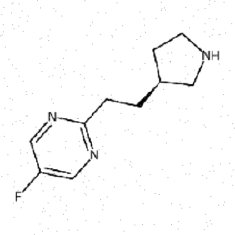 Fc1cnc(CC[C@H]2CCNC2)nc1